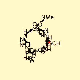 CNCCOC(=O)N1C/C=C/CNc2ncnc3c2ccn3[C@@H]2O[C@H](CO[P@@](=O)(S)O[C@H]3[C@@H](F)[C@@H](O[C@@H]3CO)n3cnc4c1ncnc43)[C@@H](O[PH](=O)S)[C@H]2F